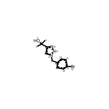 CC(C)(O)c1cn(Cc2ccc(Br)cc2)nn1